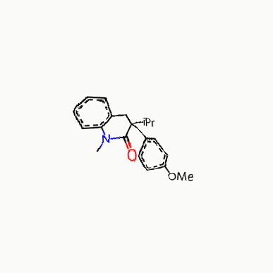 COc1ccc(C2(C(C)C)Cc3ccccc3N(C)C2=O)cc1